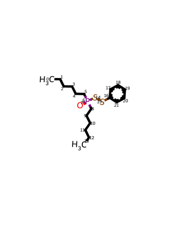 CCCCCCP(=O)(CCCCCC)SSc1ccccc1